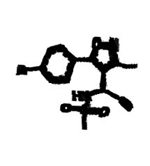 C#CC(NS(C)(=O)=O)c1c(C)noc1-c1ccc(Br)cc1